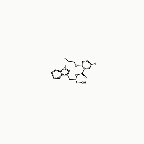 CCCOc1ccc(I)cc1C(=O)N[C@@H](CO)Cc1c[nH]c2ccccc12